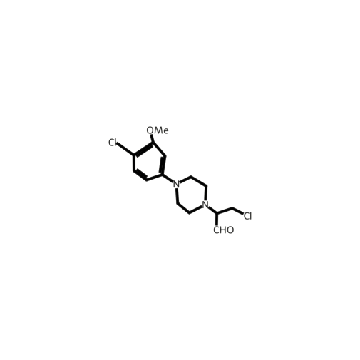 COc1cc(N2CCN(C(C=O)CCl)CC2)ccc1Cl